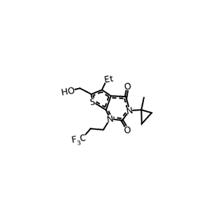 CCc1c(CO)sc2c1c(=O)n(C1(C)CC1)c(=O)n2CCC(F)(F)F